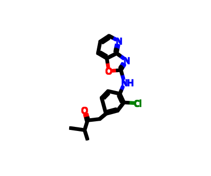 CC(C)C(=O)Cc1ccc(Nc2nc3ncccc3o2)c(Cl)c1